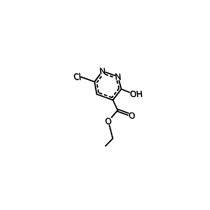 CCOC(=O)c1cc(Cl)nnc1O